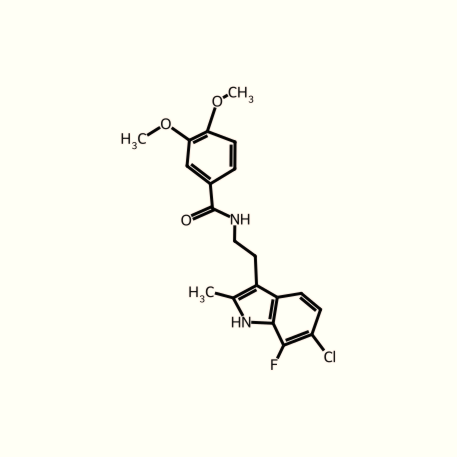 COc1ccc(C(=O)NCCc2c(C)[nH]c3c(F)c(Cl)ccc23)cc1OC